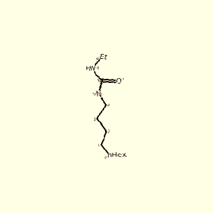 CCCCCCCCCC[N]C(=O)NCC